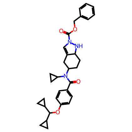 O=C(OCc1ccccc1)N1C=C2CC(N(C(=O)c3ccc(OC(C4CC4)C4CC4)cc3)C3CC3)CCC2N1